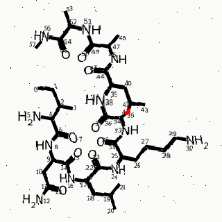 CCC(C)C(N)C(=O)NC(CC(N)=O)C(=O)NC(CC(C)C)C(=O)NC(CCCCN)C(=O)NC(C)C(=O)NC(CC(C)C)C(=O)NC(C)C(=O)NC(C)C(=O)NC